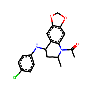 CC(=O)N1c2cc3c(cc2C(Nc2ccc(Cl)cc2)CC1C)OCO3